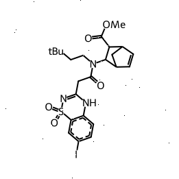 COC(=O)C1C2C=CC(C2)C1N(CCC(C)(C)C)C(=O)CC1=NS(=O)(=O)c2cc(I)ccc2N1